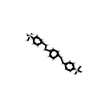 C[Si](C)(C)c1ccc(CCc2ccc(CCc3ccc([Si](C)(C)C)cc3)cc2)cc1